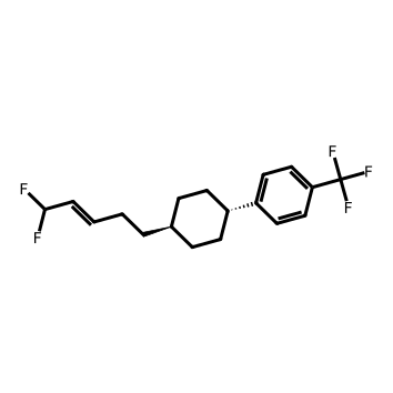 FC(F)C=CCC[C@H]1CC[C@H](c2ccc(C(F)(F)F)cc2)CC1